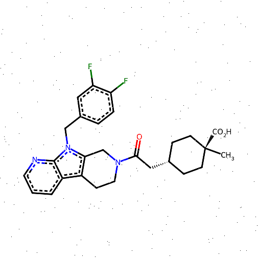 C[C@]1(C(=O)O)CC[C@H](CC(=O)N2CCc3c(n(Cc4ccc(F)c(F)c4)c4ncccc34)C2)CC1